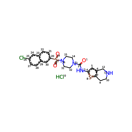 Cl.O=C(Nc1cc2c(s1)CCNC2)N1CCN(S(=O)(=O)c2ccc3cc(Cl)ccc3c2)CC1